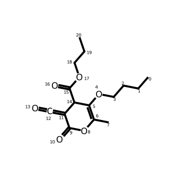 CCCCOC1=C(C)OC(=O)C(=C=O)C1C(=O)OCCC